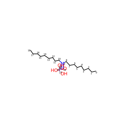 CCCCCCCCCNCCCCCCCCC.O=P(O)(O)O